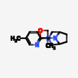 Cc1ccc(N2CC3CCC(C2)N3C2(C)COC2)nc1